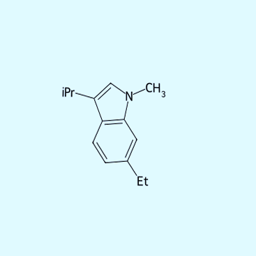 CCc1ccc2c(C(C)C)cn(C)c2c1